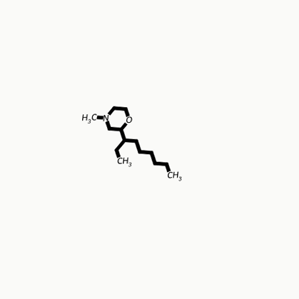 CCCCCCC(CC)C1CN(C)CCO1